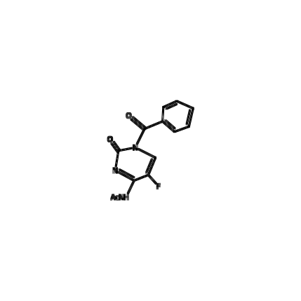 CC(=O)Nc1nc(=O)n(C(=O)c2ccccc2)cc1F